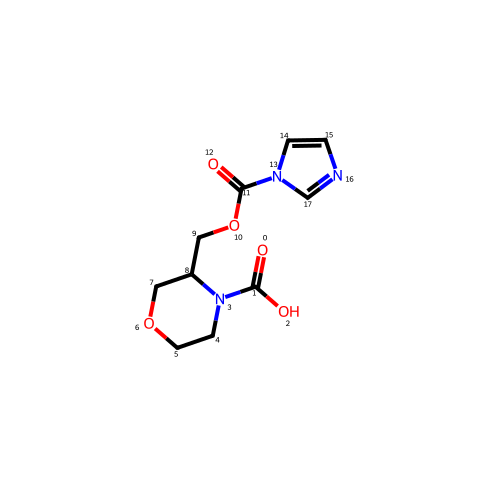 O=C(O)N1CCOCC1COC(=O)n1ccnc1